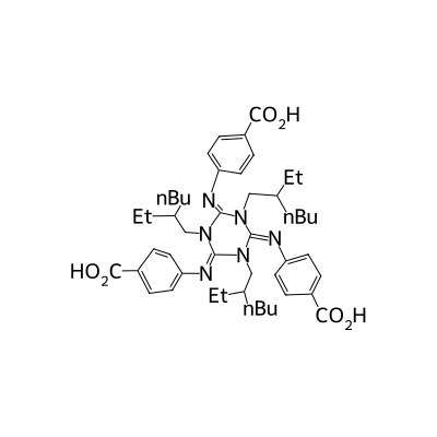 CCCCC(CC)Cn1c(=Nc2ccc(C(=O)O)cc2)n(CC(CC)CCCC)c(=Nc2ccc(C(=O)O)cc2)n(CC(CC)CCCC)c1=Nc1ccc(C(=O)O)cc1